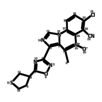 Cc1c2c(-c3noc(C4CCSC4)n3)ncn2c2ccc(Cl)c(C#N)c2[n+]1[O-]